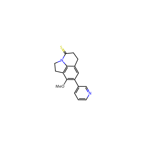 COc1c(-c2cccnc2)cc2c3c1CCN3C(=S)CC2